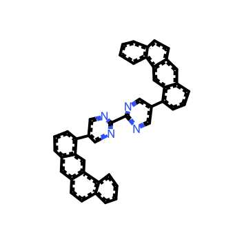 c1cc(-c2cnc(-c3ncc(-c4cccc5cc6ccc7ccccc7c6cc45)cn3)nc2)c2cc3c(ccc4ccccc43)cc2c1